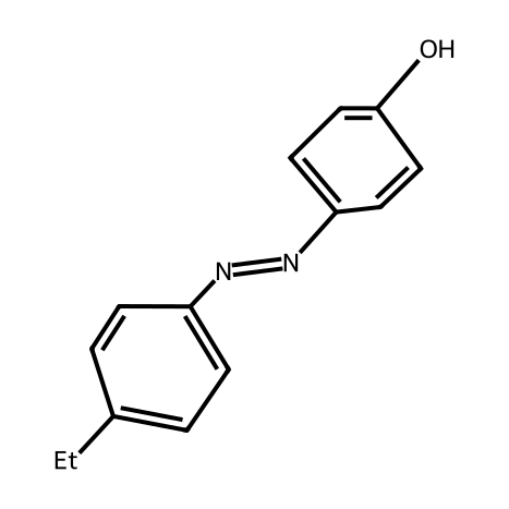 CCc1ccc(N=Nc2ccc(O)cc2)cc1